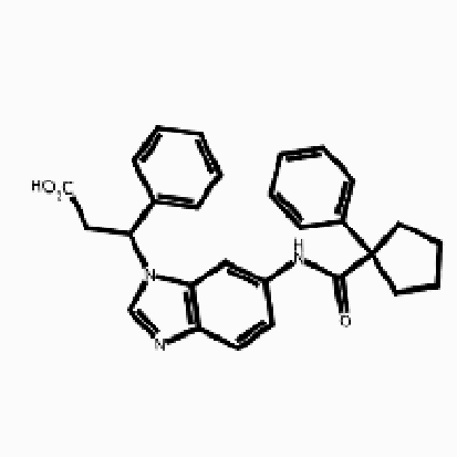 O=C(O)CC(c1ccccc1)n1cnc2ccc(NC(=O)C3(c4ccccc4)CCCC3)cc21